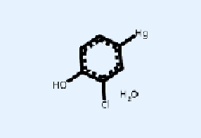 O.Oc1cc[c]([Hg])cc1Cl